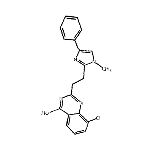 Cn1cc(-c2ccccc2)nc1CCc1nc(O)c2cccc(Cl)c2n1